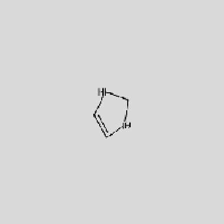 C1=C[IH]C[IH]1